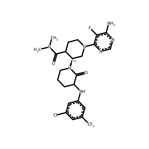 CN(C)C(=O)C1CCN(c2ncnc(N)c2F)C[C@H]1N1CCCC(Nc2cc(Cl)cc(C(F)(F)F)c2)C1=O